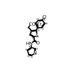 CCOC(=O)Cc1cc(C(=O)Nc2cccnc2)sc1-c1ccc(Cl)cc1